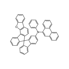 c1ccc(N(c2ccc3c(c2)C2(c4ccccc4-3)c3ccccc3-c3c2ccc2c3oc3ccccc32)c2cc3ccccc3c3ccccc23)cc1